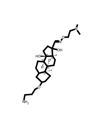 CN(C)CCO/N=C/C1(O)CC[C@@]2(O)[C@@H]3CCC4CC(OCCCN)CC[C@]4(C)[C@@H]3CC[C@]12C